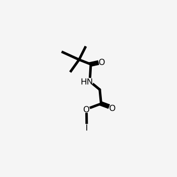 CC(C)(C)C(=O)NCC(=O)OI